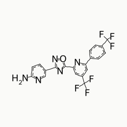 Nc1ccc(-c2noc(-c3cc(C(F)(F)F)cc(-c4ccc(C(F)(F)F)cc4)n3)n2)cn1